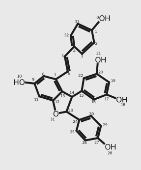 Oc1ccc(C=Cc2cc(O)cc3c2C(c2cc(O)cc(O)c2)C(c2ccc(O)cc2)O3)cc1